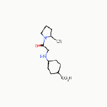 N#CC1CCCN1C(=O)CNC1CCC(C(=O)O)CC1